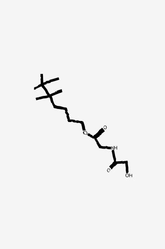 CC(C)(C)C(C)(C)CCCCOC(=O)CNC(=O)CO